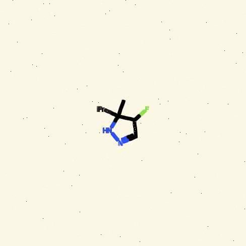 CC(C)C1(C)NN=CC1F